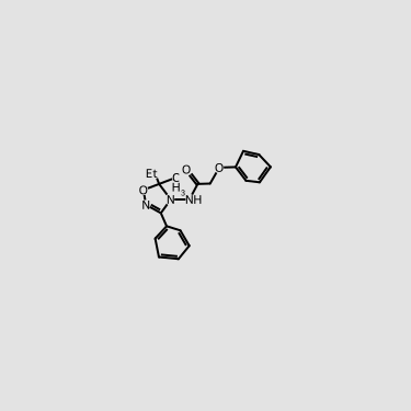 CCC1(C)ON=C(c2ccccc2)N1NC(=O)COc1ccccc1